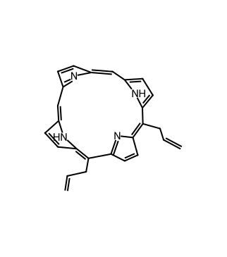 C=CCc1c2nc(c(CC=C)c3ccc(cc4nc(cc5ccc1[nH]5)C=C4)[nH]3)C=C2